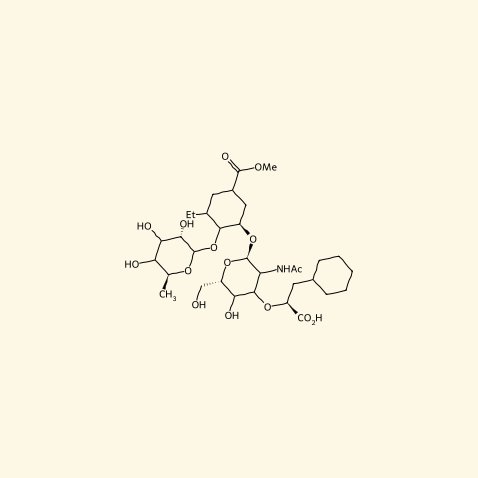 CCC1CC(C(=O)OC)C[C@@H](O[C@@H]2O[C@@H](CO)C(O)C(O[C@@H](CC3CCCCC3)C(=O)O)C2NC(C)=O)C1OC1O[C@@H](C)C(O)C(O)[C@@H]1O